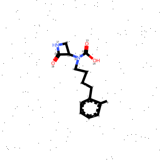 Cc1ccccc1CCCCN(C(=O)O)C1CNC1=O